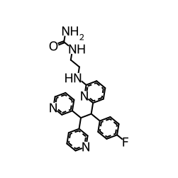 NC(=O)NCCNc1cccc(C(c2ccc(F)cc2)C(c2cccnc2)c2cccnc2)n1